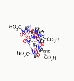 CCCCCNC(=O)C(C(C)C)N(CCC(=O)O)C(=O)CCCCCN(C(=O)CCCC(=O)N(CCC(=O)O)C(C(=O)NCCCCC)C(C)C)C(CCCC(=O)N(CC)C(C(=O)NCCCCCC(=O)O)C(C)C)C(=O)NCCC(=O)N(CC)C(C(=O)NCCCCCC(=O)O)C(C)C